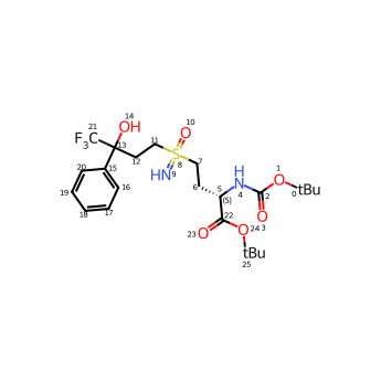 CC(C)(C)OC(=O)N[C@@H](CCS(=N)(=O)CCC(O)(c1ccccc1)C(F)(F)F)C(=O)OC(C)(C)C